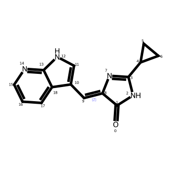 O=C1NC(C2CC2)=N/C1=C\c1c[nH]c2ncccc12